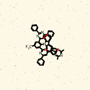 Cc1nc(C)nc(-c2ccc3c(c2)c2ccccc2n3-c2c(-c3cc(-c4ccccc4)nc(-c4ccccc4)n3)cc(C(F)(F)F)cc2-c2nc(-c3ccccc3)cc(-c3ccccc3)n2)n1